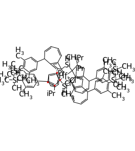 Cc1cc(C2C=CC=CC3=C2C=C(C(C)C)[C]32[SiH](C)[C]3(C(C(C)C)=CC4=C3C=CC=CC4c3cc(C)c([Si](C)(C)C)c(C)c3)[Hf]23([Cl])([Cl])[C]2(C(C(C)C)=CC4=C2C=CC=CC4c2cc(C)c([Si](C)(C)C)c(C)c2)[SiH](C)[C]32C(C(C)C)=CC3=C2C=CC=CC3c2cc(C)c([Si](C)(C)C)c(C)c2)cc(C)c1[Si](C)(C)C